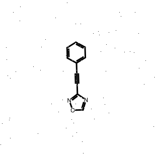 C(#Cc1ncon1)c1ccccc1